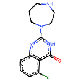 O=c1[nH]c(N2CCCNCC2)nc2cccc(Cl)c12